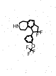 FC(F)(F)Oc1cccc(C2c3c(ccc4c3CCNCC4)CC2(F)F)c1